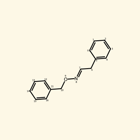 [c]1ccccc1CC=NOCc1ccccc1